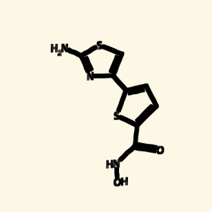 Nc1nc(-c2ccc(C(=O)NO)s2)cs1